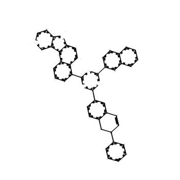 C1=CC(c2ccccc2)Cc2ccc(-c3nc(-c4ccc5ccccc5c4)nc(-c4cccc5c4ccc4oc6ccncc6c45)n3)cc21